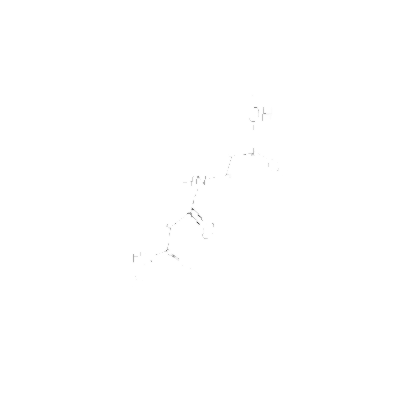 CNC(=O)CC(=O)NCCC(=O)O